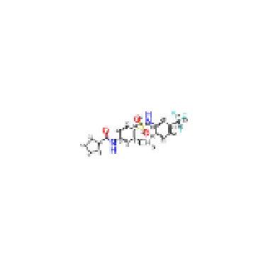 Cc1cc(NC(=O)C2CCCC2)ccc1S(=O)(=O)Nc1cccc(C(F)(F)F)c1